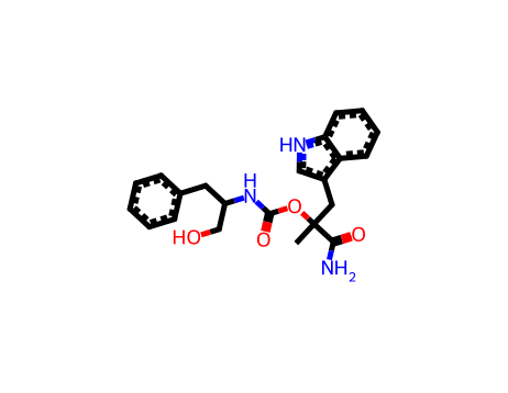 CC(Cc1c[nH]c2ccccc12)(OC(=O)NC(CO)Cc1ccccc1)C(N)=O